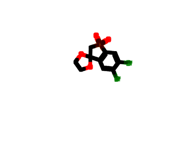 O=S1(=O)CC2(OCCO2)c2cc(Br)c(Br)cc21